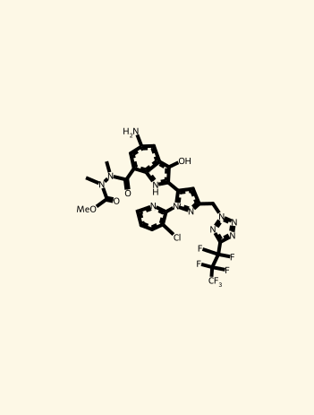 COC(=O)N(C)N(C)C(=O)c1cc(N)cc2c(O)c(-c3cc(Cn4nnc(C(F)(F)C(F)(F)C(F)(F)F)n4)nn3-c3ncccc3Cl)[nH]c12